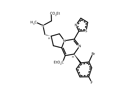 CCOC(=O)CN(C)C[C@H]1CC2=C(C(=O)OCC)[C@H](c3ccc(F)cc3Br)N=C(c3nccs3)N2C1